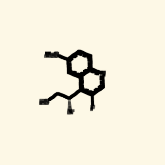 COc1ccc2ncc(F)c([C@H](Br)CO)c2c1